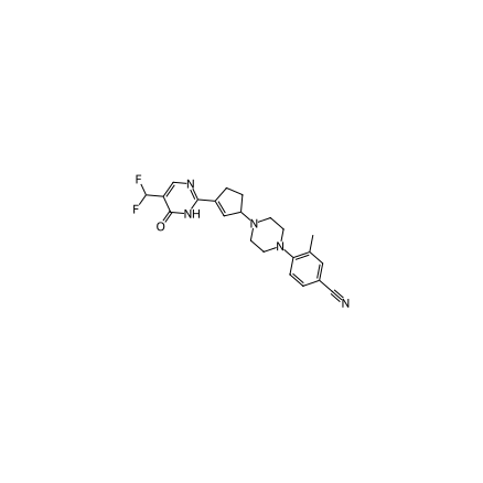 Cc1cc(C#N)ccc1N1CCN(C2C=C(c3ncc(C(F)F)c(=O)[nH]3)CC2)CC1